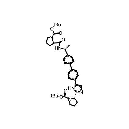 C[C@H](NC(=O)C1CCCN1C(=O)OC(C)(C)C)c1ccc(-c2ccc(-c3cnc([C@@H]4CCCN4C(=O)OC(C)(C)C)[nH]3)cc2)cc1